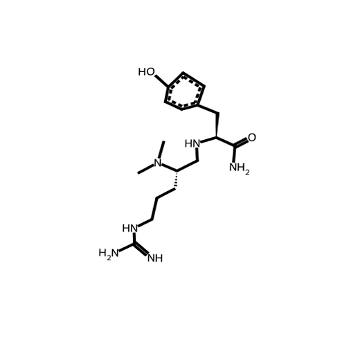 CN(C)[C@@H](CCCNC(=N)N)CN[C@@H](Cc1ccc(O)cc1)C(N)=O